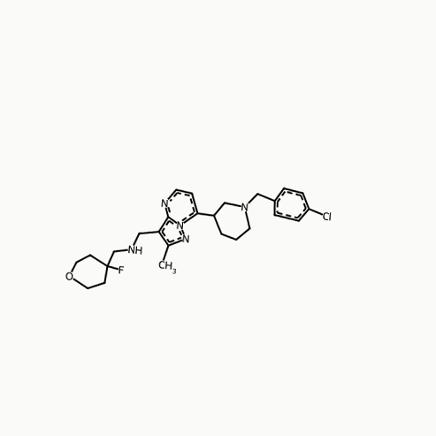 Cc1nn2c(C3CCCN(Cc4ccc(Cl)cc4)C3)ccnc2c1CNCC1(F)CCOCC1